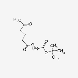 CC(=O)CCCC(=O)ONC(=O)OC(C)(C)C